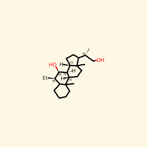 CC[C@@H]1C2CCCCC2(C)[C@H]2CCC3(C)C([C@H](C)CO)CC[C@H]3[C@@H]2[C@@H]1O